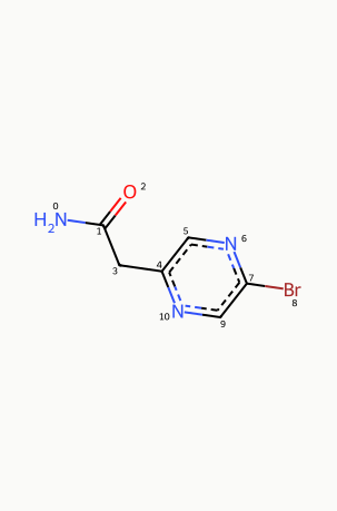 NC(=O)Cc1cnc(Br)cn1